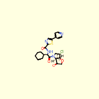 O=C(NC(C(=O)N1C[C@H](Cl)[C@H]2OCC(=O)[C@H]21)C1CCCCC1)c1ncc(-c2ccncc2)s1